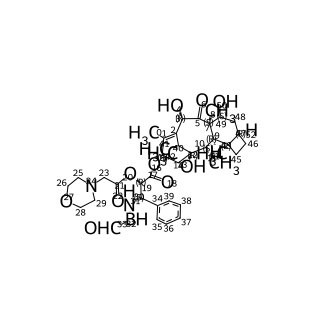 CC1=C2[C@@H](O)C(=O)[C@@]3(C)[C@H]([C@H](C)[C@](O)(C[C@@H]1OC(=O)[C@H](OC(=O)CN1CCOCC1)[C@@H](NBC=O)c1ccccc1)C2(C)C)[C@]1(C)CC[C@@H]1C[C@@H]3O